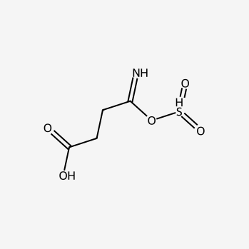 N=C(CCC(=O)O)O[SH](=O)=O